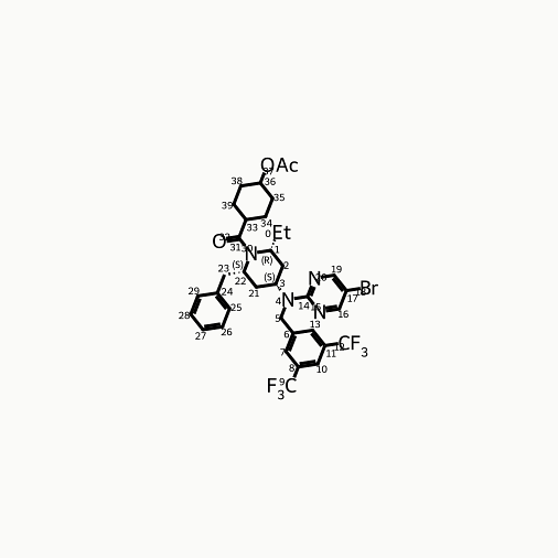 CC[C@@H]1C[C@H](N(Cc2cc(C(F)(F)F)cc(C(F)(F)F)c2)c2ncc(Br)cn2)C[C@H](Cc2ccccc2)N1C(=O)C1CCC(OC(C)=O)CC1